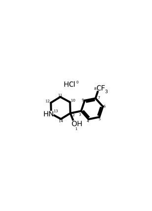 Cl.OC1(c2cccc(C(F)(F)F)c2)CCCNC1